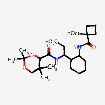 CCCCCCCCC1(C(=O)NC2CCCCC2C(CC(=O)O)NC(=O)C2OC(C)(C)OCC2(C)C)CCC1